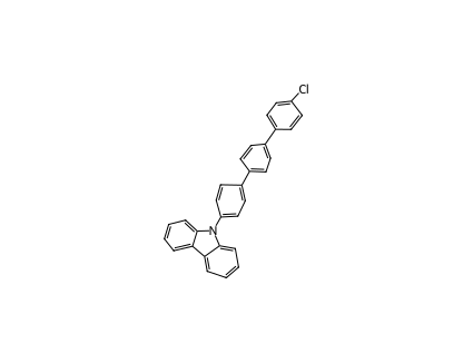 Clc1ccc(-c2ccc(-c3ccc(-n4c5ccccc5c5ccccc54)cc3)cc2)cc1